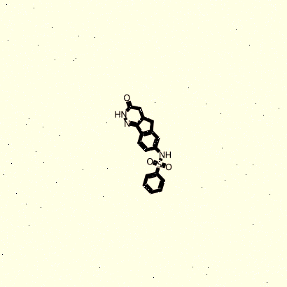 O=C1CC2Cc3cc(NS(=O)(=O)c4ccccc4)ccc3C2=NN1